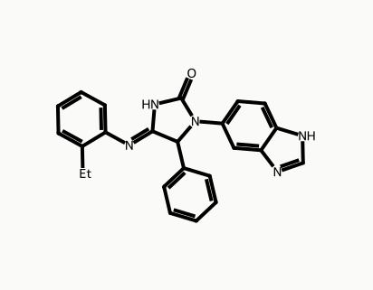 CCc1ccccc1N=C1NC(=O)N(c2ccc3[nH]cnc3c2)C1c1ccccc1